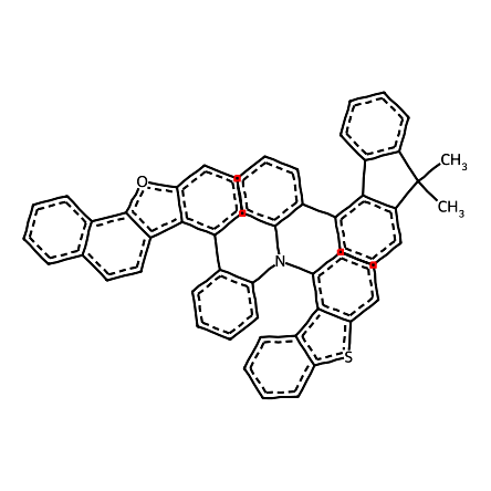 CC1(C)c2ccccc2-c2c(-c3ccccc3N(c3ccccc3-c3cccc4oc5c6ccccc6ccc5c34)c3cccc4sc5ccccc5c34)cccc21